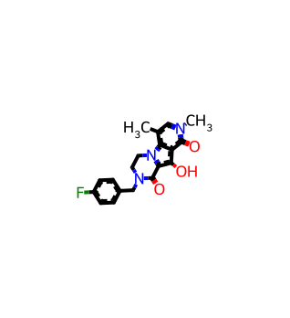 Cc1cn(C)c(=O)c2c(O)c3n(c12)CCN(Cc1ccc(F)cc1)C3=O